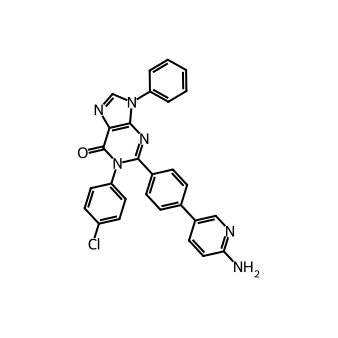 Nc1ccc(-c2ccc(-c3nc4c(ncn4-c4ccccc4)c(=O)n3-c3ccc(Cl)cc3)cc2)cn1